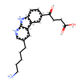 NCCCCCc1cnc2[nH]c3ccc(C(=O)CCC(=O)O)cc3c2c1